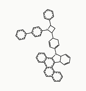 C1=CC2c3c(c4ccccc4c4ccc5ccccc5c34)N(C3=CCC(C4CC(c5ccccc5)N4c4ccc(-c5ccccc5)cc4)C=C3)C2C=C1